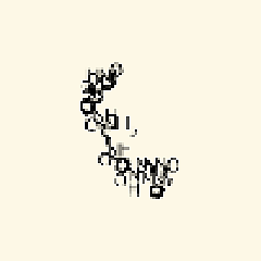 CC[C@@H]1C(=O)N(C)c2cnc(Nc3ccc(C(=O)NCCC[C@@H](N)C(=O)Nc4cccc5c4CN(C4CCC(=O)NC4=O)C5=O)cc3OC)nc2N1C1CCCC1